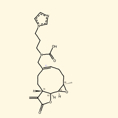 C=C1C(=O)O[C@H]2[C@H]1CC/C(CN(CCCn1ccnc1)C(=O)O)=C\CC[C@@]1(C)O[C@@H]21